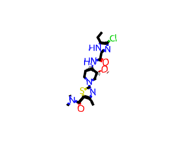 CCc1[nH]c(C(=O)N[C@@H]2CCN(c3nc(C)c(C(=O)N(C)C)s3)C[C@@H]2OC)nc1Cl